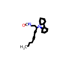 CCCCC#CC#CC(CCN=C=O)n1c2ccccc2c2ccccc21